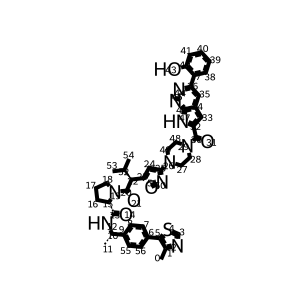 Cc1ncsc1-c1ccc([C@H](C)NC(=O)[C@@H]2CCCN2C(=O)[C@H](c2cc(N3CCN(C(=O)c4cc5cc(-c6ccccc6O)nnc5[nH]4)CC3)no2)C(C)C)cc1